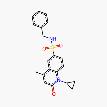 Cc1cc(=O)n(C2CC2)c2ccc(S(=O)(=O)NCc3ccccc3)cc12